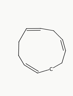 C1=C\CC/C=C\CC/C=C\C/1